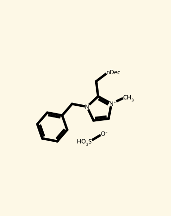 CCCCCCCCCCCc1n(Cc2ccccc2)cc[n+]1C.O=S(=O)([O-])O